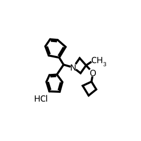 CC1(OC2CCC2)CN(C(c2ccccc2)c2ccccc2)C1.Cl